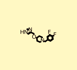 Fc1ccc(CN2CCC(OCc3c[nH]cn3)CC2)cc1F